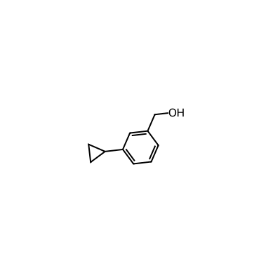 OCc1cccc(C2CC2)c1